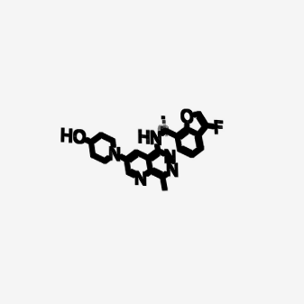 Cc1nnc(N[C@H](C)c2cccc3c(F)coc23)c2cc(N3CCC(O)CC3)cnc12